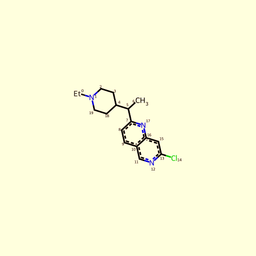 CCN1CCC(C(C)c2ccc3cnc(Cl)cc3n2)CC1